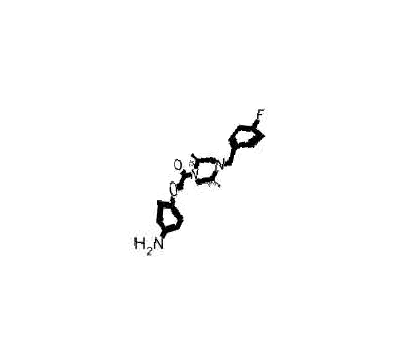 C[C@@H]1CN(C(=O)COc2ccc(N)cc2)[C@@H](C)CN1Cc1ccc(F)cc1